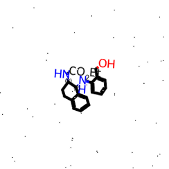 CCOC(=O)N[C@@H]1CCc2ccccc2[C@H]1Nc1ccccc1CO